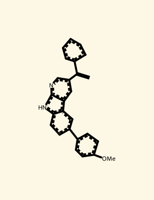 C=C(c1ccccc1)c1cnc2[nH]c3ccc(-c4ccc(OC)cc4)cc3c2c1